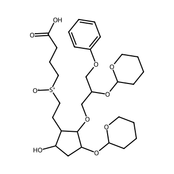 O=C(O)CCC[S+]([O-])CCC1C(O)CC(OC2CCCCO2)C1OCC(COc1ccccc1)OC1CCCCO1